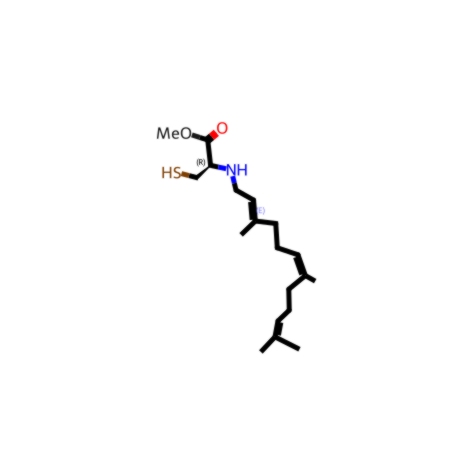 COC(=O)[C@H](CS)NC/C=C(\C)CCC=C(C)CCC=C(C)C